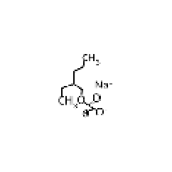 CCCC(CC)COS(=O)(=O)[O-].[Na+]